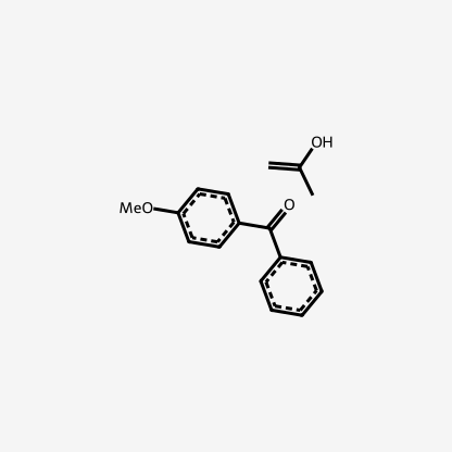 C=C(C)O.COc1ccc(C(=O)c2ccccc2)cc1